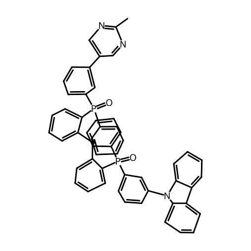 Cc1ncc(-c2cccc(P(=O)(c3ccccc3)c3ccccc3Cc3ccccc3P(=O)(c3ccccc3)c3cccc(-n4c5ccccc5c5ccccc54)c3)c2)cn1